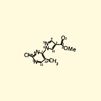 COC(=O)c1cnn(-c2nc(Cl)ncc2C)c1